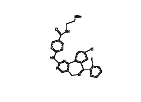 CNCCNC(=O)c1ccc(Nc2ncc3c(n2)-c2ccc(Cl)cc2C(c2ccccc2F)=NC3)cc1